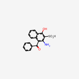 Nc1c(S(=O)(=O)O)c(O)c2ccccc2c1C(=O)c1ccccc1